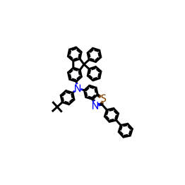 CC(C)(C)c1ccc(N(c2ccc3c(c2)C(c2ccccc2)(c2ccccc2)c2ccccc2-3)c2ccc3sc(-c4ccc(-c5ccccc5)cc4)nc3c2)cc1